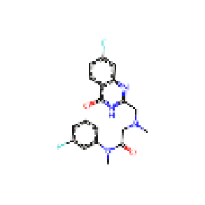 CN(CC(=O)N(C)c1cccc(F)c1)Cc1nc2cc(F)ccc2c(=O)[nH]1